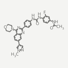 CC(=O)Nc1ccc(NC(=O)Nc2ccc(-c3nc(N4CCOCC4)c4ccc(-c5cnn(C)c5)cc4n3)cc2)c(F)c1